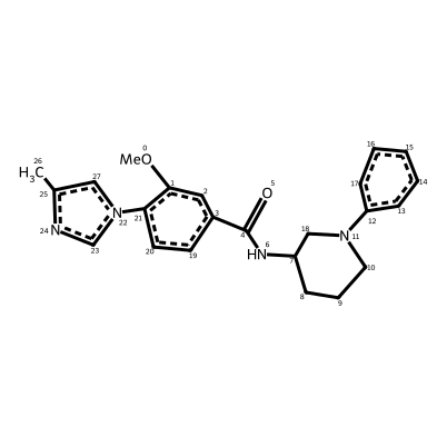 COc1cc(C(=O)NC2CCCN(c3ccccc3)C2)ccc1-n1cnc(C)c1